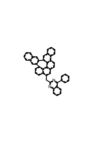 c1ccc(-c2nc(Cc3cc4ccc5c6ccccc6cc6c5c4c4c(cccc34)-c3cc4ccccc4cc3-6)nc3ccccc23)cc1